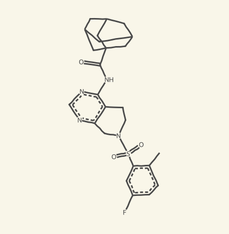 Cc1ccc(F)cc1S(=O)(=O)N1CCc2c(ncnc2NC(=O)C23CC4CC(CC(C4)C2)C3)C1